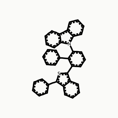 c1ccc(-c2c(-c3sc(-c4ccccc4)c4ccccc34)cccc2-n2c3ccccc3c3ccccc32)cc1